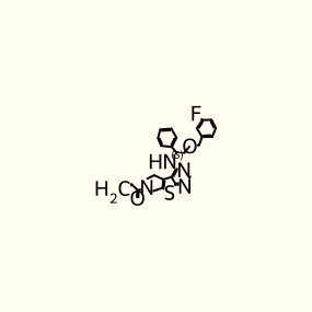 C=CC(=O)N1CCc2c(sc3ncnc(N[C@H](COCc4cccc(F)c4)c4ccccc4)c23)C1